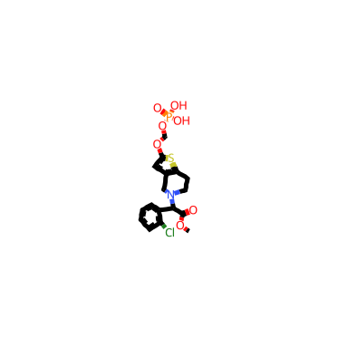 COC(=O)C(c1ccccc1Cl)N1CCc2sc(OCOP(=O)(O)O)cc2C1